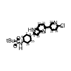 CC(C)(C)S(=O)(=O)N[C@H]1CC[C@H](c2cc3nc(-c4ccc(Cl)nc4)ccc3[nH]2)CC1